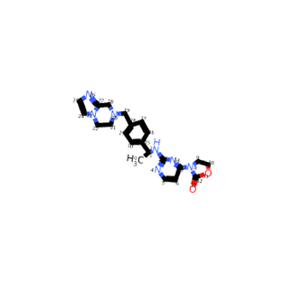 CC(Nc1nccc(N2CCOC2=O)n1)c1ccc(CN2CCn3ccnc3C2)cc1